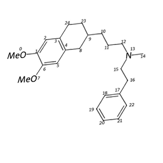 COc1cc2c(cc1OC)CC(CCCN(C)CCc1ccccc1)CC2